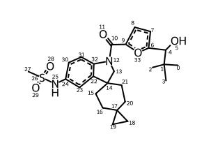 CC(C)(C)C(O)c1ccc(C(=O)N2CC3(CCC4(CC4)CC3)c3cc(NS(C)(=O)=O)ccc32)o1